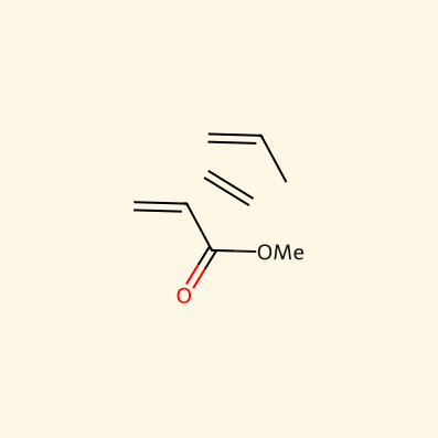 C=C.C=CC.C=CC(=O)OC